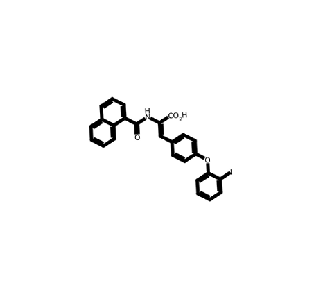 O=C(O)C(=Cc1ccc(Oc2ccccc2I)cc1)NC(=O)c1cccc2ccccc12